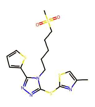 Cc1csc(Sc2nnc(-c3cccs3)n2CCCCCS(C)(=O)=O)n1